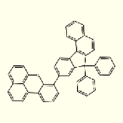 c1ccc(C2(c3ccccc3)c3cc(-c4cccc5c4Sc4cccc6cccc-5c46)ccc3-c3c2ccc2ccccc32)cc1